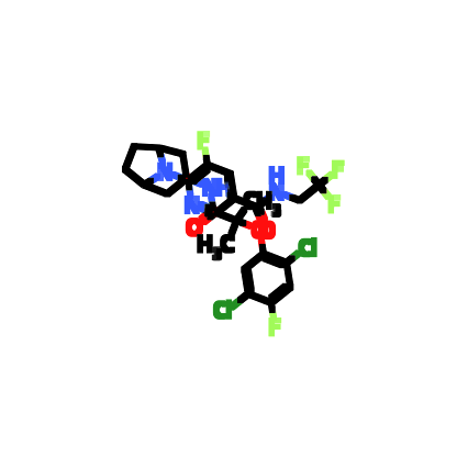 CC(C)(Oc1cc(Cl)c(F)cc1Cl)C(=O)NC1CC2CCC(C1)N2c1ncc(C(=O)NCC(F)(F)F)cc1F